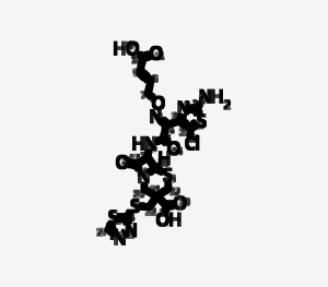 Nc1nc(C(=NOCC=CC(=O)O)C(=O)NC2C(=O)N3CC(CSc4nncs4)(C(=O)O)CS[C@H]23)c(Cl)s1